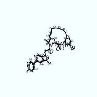 CC(=O)c1nn(CC(=O)N2C3C[C@@]34/C=C/CCCCCCc3ccc(Br)nc3NC(=O)[C@@H]2C4)c2cnc(-c3cnc(C)nc3)cc12